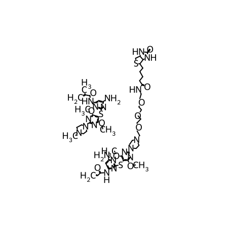 C=C(C)C(=O)Nc1cc(N)nc(Sc2c(OC)nc(N3CCN(C)CC3)nc2OC)n1.C=CC(=O)Nc1cc(N)nc(Sc2c(OC)nc(N3CCN(CCOCCOCCOCCNC(=O)CCCCC4SCC5NC(=O)NC54)CC3)nc2OC)n1